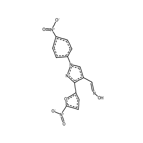 O=[N+]([O-])c1ccc(-n2cc(C=NO)c(-c3ccc([N+](=O)[O-])o3)n2)cc1